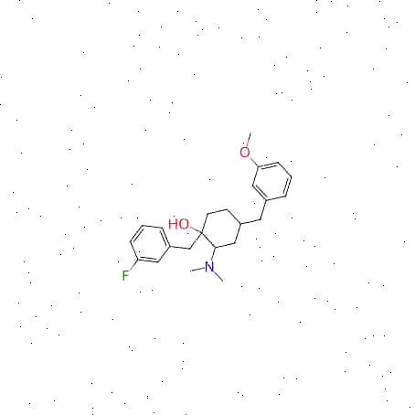 COc1cccc(CC2CCC(O)(Cc3cccc(F)c3)C(N(C)C)C2)c1